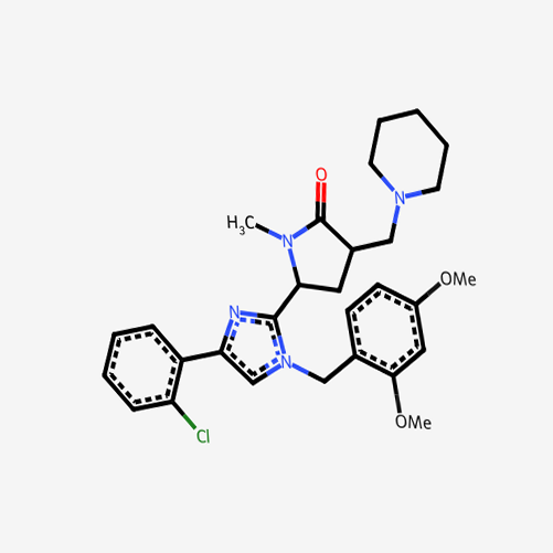 COc1ccc(Cn2cc(-c3ccccc3Cl)nc2C2CC(CN3CCCCC3)C(=O)N2C)c(OC)c1